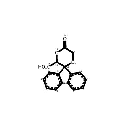 O=C1COC(c2ccccc2)(c2ccccc2)C(C(=O)O)O1